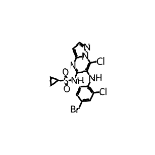 O=S(=O)(Nc1nc2ccnn2c(Cl)c1Nc1ccc(Br)cc1Cl)C1CC1